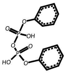 O=P(O)(Oc1ccccc1)OP(=O)(O)Oc1ccccc1